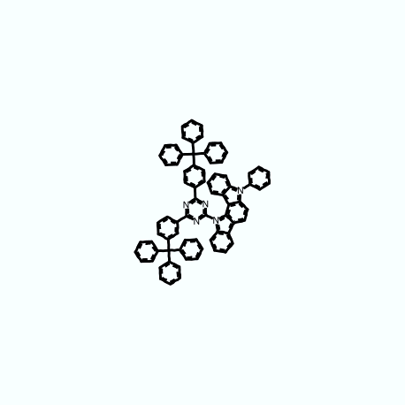 c1ccc(-n2c3ccccc3c3c2ccc2c4ccccc4n(-c4nc(-c5ccc(C(c6ccccc6)(c6ccccc6)c6ccccc6)cc5)nc(-c5cccc(C(c6ccccc6)(c6ccccc6)c6ccccc6)c5)n4)c23)cc1